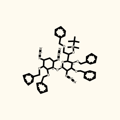 CC(C)(C)[Si](C)(C)OC(COCc1ccccc1)C1O[C@H](O[C@@H]2C(N=[N+]=[N-])CC(N=[N+]=[N-])C(OCc3ccccc3)C2OCc2ccccc2)C(N=[N+]=[N-])C(OCc2ccccc2)[C@@H]1OCc1ccccc1